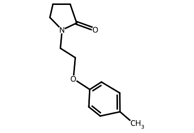 Cc1ccc(OCCN2CCCC2=O)cc1